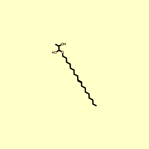 CCCCCCCCC=CCCCCCCCCOC(O)C(C)O